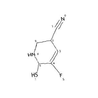 N#CC1C=C(F)C(S)NC1